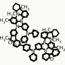 Cc1cc2c3c(c1)N1c4c(cccc4C4(C)CCCCC14C)B3c1ccc(N(c3ccccc3)c3ccccc3)cc1N2c1ccc2c(c1)-c1cc(-c3ccc(N(c4ccccc4)c4ccc5c(c4)N(c4cccc6oc7ccccc7c46)c4cc(C)cc6c4B5c4cccc5c4N6C4(C)CCCCC54C)cc3)ccc1C2(C)C